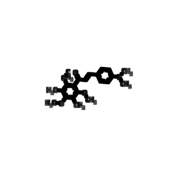 COc1c(C)c(OC)c(C(=O)C=Cc2ccc(N(C)C)cc2)c(OC)c1C